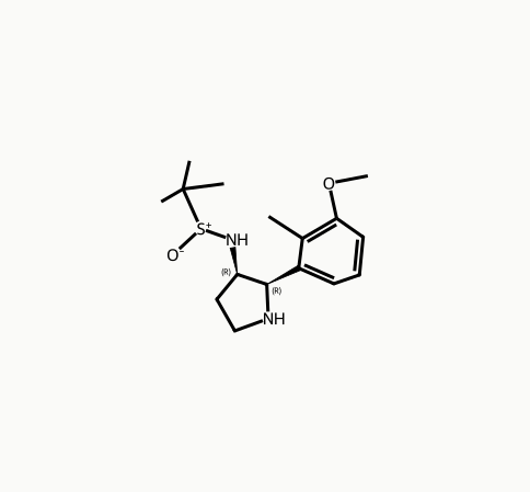 COc1cccc([C@H]2NCC[C@H]2N[S+]([O-])C(C)(C)C)c1C